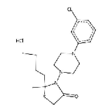 CCCCC1(C)SCC(=O)N1N1CCN(c2cccc(Cl)c2)CC1.Cl